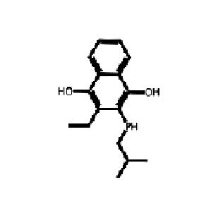 CCc1c(PCC(C)C)c(O)c2ccccc2c1O